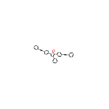 O=C1C(c2ccc(C#Cc3ccccc3)cc2)=CC(c2ccccc2)=C1c1ccc(C#Cc2ccccc2)cc1